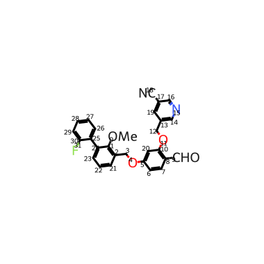 COc1c(COc2ccc(C=O)c(OCc3cncc(C#N)c3)c2)cccc1-c1ccccc1F